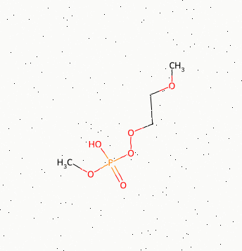 COCCOOP(=O)(O)OC